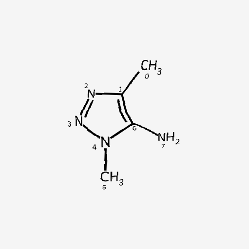 Cc1nnn(C)c1N